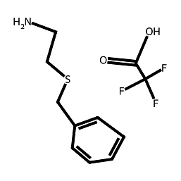 NCCSCc1ccccc1.O=C(O)C(F)(F)F